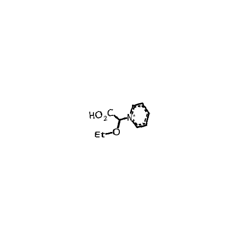 CCOC(C(=O)O)[n+]1ccccc1